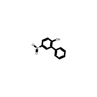 O=[N+]([O-])c1ccc(O)c(-c2ccccc2)c1